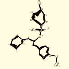 COc1ccc(CC(Cc2ccccc2)NS(=O)(=O)c2ccc(Cl)cc2)cc1